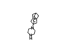 C1CN(C23CC4CC5CC4(C2)C5C3)CCN1